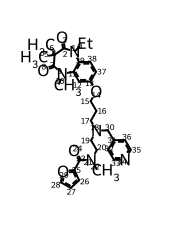 CCN1C(=O)C(C)(C)C(=O)N(C)c2cc(OCCCN(CCN(C)C(=O)c3ccco3)Cc3ccncc3)ccc21